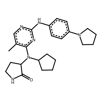 Cc1cnc(Nc2ccc(N3CCCC3)cc2)nc1N(C1CCCC1)C1CCNC1=O